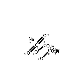 O=C([O-])O.O=C([O-])O.O=C=O.[Na+].[Na+]